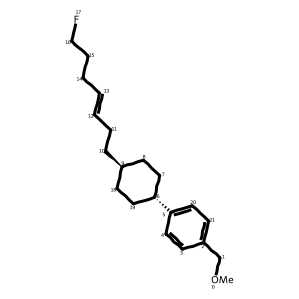 COCc1ccc([C@H]2CC[C@H](CCC=CCCCF)CC2)cc1